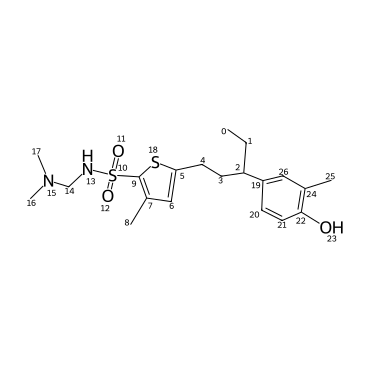 CCC(CCc1cc(C)c(S(=O)(=O)NCN(C)C)s1)c1ccc(O)c(C)c1